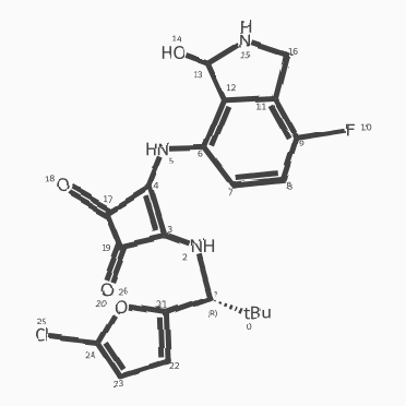 CC(C)(C)[C@@H](Nc1c(Nc2ccc(F)c3c2C(O)NC3)c(=O)c1=O)c1ccc(Cl)o1